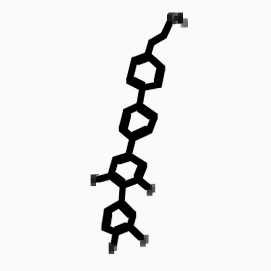 CCCc1ccc(-c2ccc(-c3cc(F)c(-c4ccc(F)c(F)c4)c(F)c3)cc2)cc1